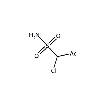 CC(=O)C(Cl)S(N)(=O)=O